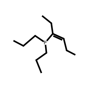 CCC=C(CC)P(CCC)CCC